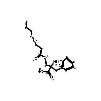 CCCCCCCC(=O)OCC(N)(Cc1ccccc1)C(=O)O